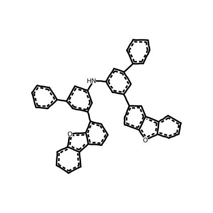 c1ccc(-c2cc(Nc3cc(-c4ccccc4)cc(-c4cccc5c4oc4ccccc45)c3)cc(-c3ccc4oc5ccccc5c4c3)c2)cc1